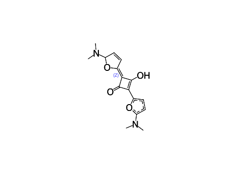 CN(C)c1ccc(C2=C(O)/C(=C3\C=CC(N(C)C)O3)C2=O)o1